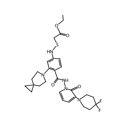 CCOC(=O)CSNc1ccc(C(=O)Nn2cccc(N3CCC(F)(F)CC3)c2=O)c(N2CCC3(CC2)CC3)c1